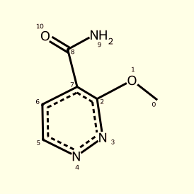 COc1nnccc1C(N)=O